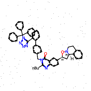 CCCCc1nc2ccc([C@@H]3C[C@@H]4c5ccccc5CCN4O3)cc2c(=O)n1Cc1ccc(-c2ccccc2-c2nnnn2C(c2ccccc2)(c2ccccc2)c2ccccc2)cc1